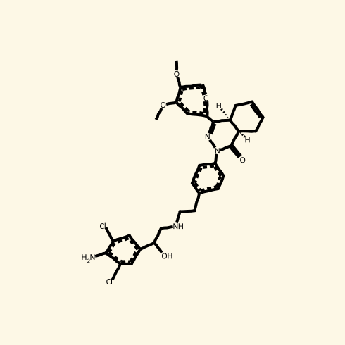 COc1ccc(C2=NN(c3ccc(CCNCC(O)c4cc(Cl)c(N)c(Cl)c4)cc3)C(=O)[C@@H]3CC=CC[C@H]23)cc1OC